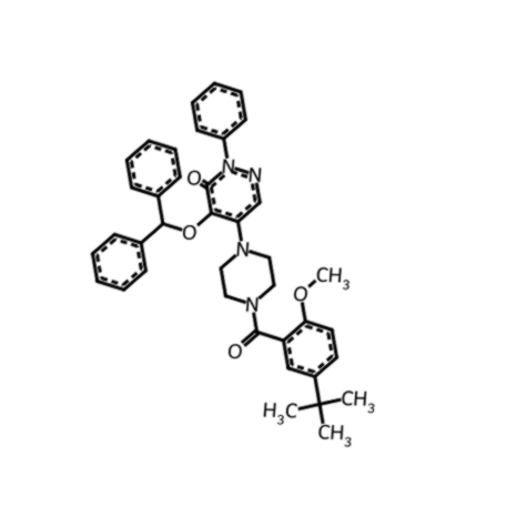 COc1ccc(C(C)(C)C)cc1C(=O)N1CCN(c2cnn(-c3ccccc3)c(=O)c2OC(c2ccccc2)c2ccccc2)CC1